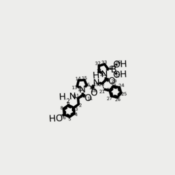 N[C@@H](Cc1ccc(O)cc1)C(=O)N1CCC[C@@H]1C(=O)N[C@@H](Cc1ccccc1)C(=O)N1CCC[C@H]1B(O)O